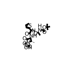 CC(NC(=O)OC(C)(C)C)ON=C(C(=O)N[C@@H]1C(=O)N(S(=O)(=O)O)[C@H]1C)c1cccs1